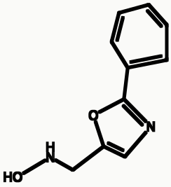 ONCc1cnc(-c2ccccc2)o1